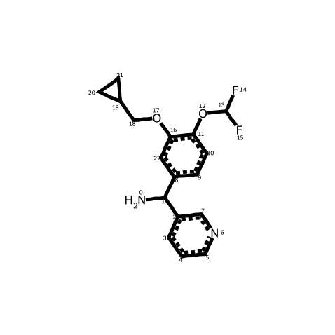 NC(c1cccnc1)c1ccc(OC(F)F)c(OCC2CC2)c1